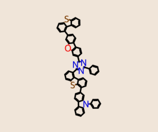 c1ccc(-c2nc(-c3ccc4c(c3)oc3cc(-c5cccc6sc7ccccc7c56)ccc34)nc(-c3cccc4sc5c(-c6ccc7c8ccccc8n(-c8ccccc8)c7c6)cccc5c34)n2)cc1